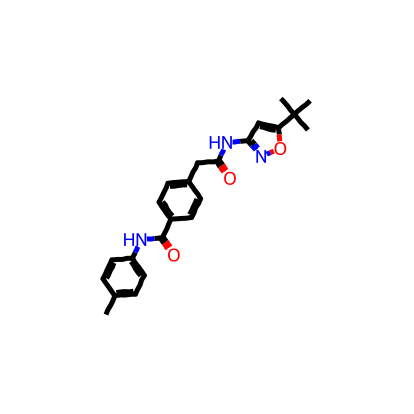 Cc1ccc(NC(=O)c2ccc(CC(=O)Nc3cc(C(C)(C)C)on3)cc2)cc1